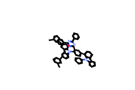 Cc1cccc(-c2ccc3c(c2)c2cc(-c4cccc(C)c4)ccc2n3-c2ccc(-c3cccc4c5ccccc5n(-c5ccccc5)c34)cc2-c2nc(-c3ccccc3)nc(-c3ccccc3)n2)c1